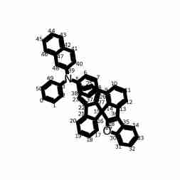 c1ccc(N(c2ccc(-c3cccc4c3C3(c5ccccc5-c5ccccc53)c3oc5ccccc5c3-4)cc2)c2ccc3ccccc3c2)cc1